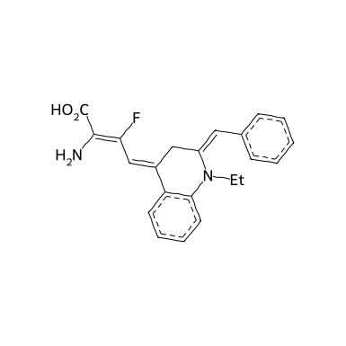 CCN1C(=Cc2ccccc2)CC(=CC(F)=C(N)C(=O)O)c2ccccc21